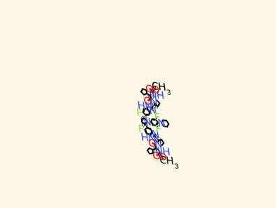 COC(=O)N[C@H](C(=O)N1CCC[C@H]1c1nc2cc([C@H]3CC[C@H](c4cc5nc([C@@H]6CCCN6C(=O)[C@@H](NC(=O)OC)C6CCCC6)[nH]c5cc4F)N3c3cc(F)c(N4CCCCC4)c(F)c3)c(F)cc2[nH]1)C1CCCC1